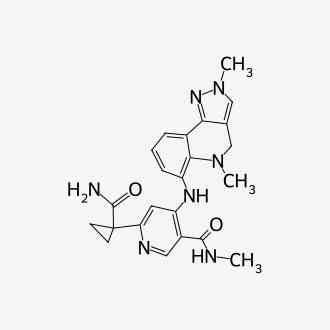 CNC(=O)c1cnc(C2(C(N)=O)CC2)cc1Nc1cccc2c1N(C)Cc1cn(C)nc1-2